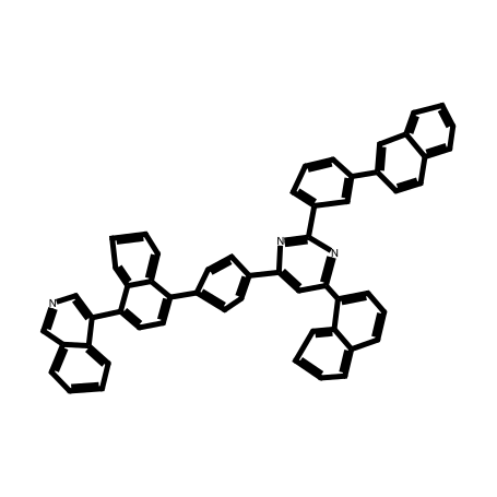 c1cc(-c2ccc3ccccc3c2)cc(-c2nc(-c3ccc(-c4ccc(-c5cncc6ccccc56)c5ccccc45)cc3)cc(-c3cccc4ccccc34)n2)c1